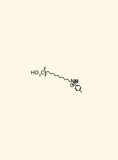 Cc1ccc(S(=O)(=O)NCCCCCCCCCCC(F)(F)C(=O)O)cc1